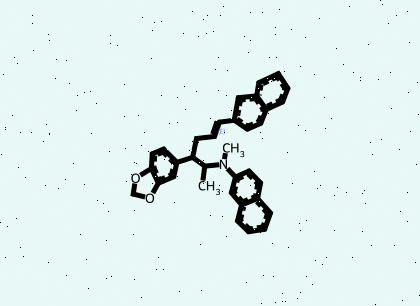 CC(C(C/C=C/c1ccc2ccccc2c1)c1ccc2c(c1)OCO2)N(C)c1ccc2ccccc2c1